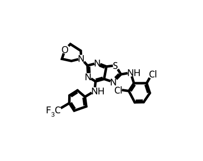 FC(F)(F)c1ccc(Nc2nc(N3CCOCC3)nc3sc(Nc4c(Cl)cccc4Cl)nc23)cc1